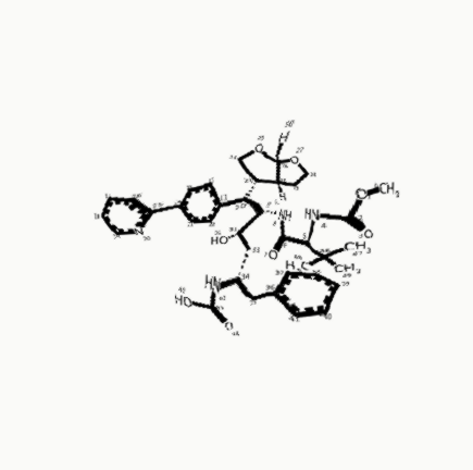 COC(=O)N[C@H](C(=O)N[C@@H](C(c1ccc(-c2ccccn2)cc1)[C@@H]1CO[C@@H]2OCC[C@@H]21)[C@@H](O)C[C@H](Cc1ccccc1)NC(=O)O)C(C)(C)C